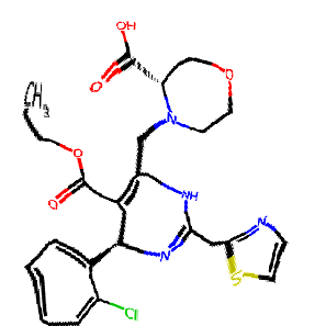 CCOC(=O)C1=C(CN2CCOC[C@H]2C(=O)O)NC(c2nccs2)=N[C@H]1c1ccccc1Cl